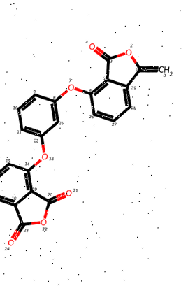 C=C1OC(=O)c2c(Oc3cccc(Oc4cccc5c4C(=O)OC5=O)c3)cccc21